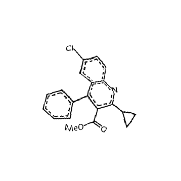 COC(=O)c1c(C2CC2)nc2ccc(Cl)cc2c1-c1ccccc1